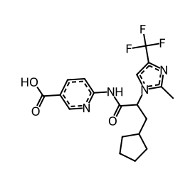 Cc1nc(C(F)(F)F)cn1C(CC1CCCC1)C(=O)Nc1ccc(C(=O)O)cn1